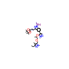 CCc1nn(C)c(COCC(C)Oc2c(-c3ccc4c(c3)c(/C=C/B3OC(C)(C)C(C)(C)O3)nn4PI)cnn2C)c1C